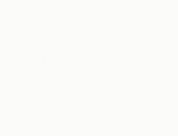 COc1cc(Br)c(Br)cc1Br